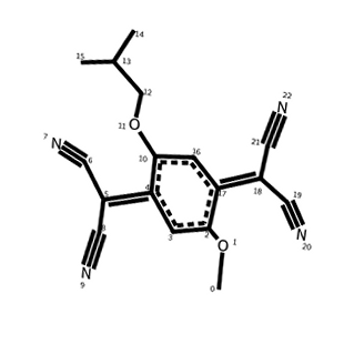 COc1cc(=C(C#N)C#N)c(OCC(C)C)cc1=C(C#N)C#N